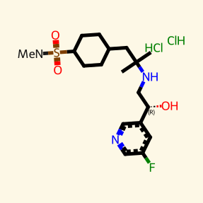 CNS(=O)(=O)C1CCC(CC(C)(C)NC[C@H](O)c2cncc(F)c2)CC1.Cl.Cl